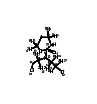 [2H]C1([2H])CC([2H])([2H])OP(=O)(N(C([2H])([2H])CCl)C([2H])([2H])C([2H])([2H])Cl)N1